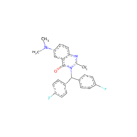 Cc1nc2ccc(N(C)C)cc2c(=O)n1C(c1ccc(F)cc1)c1ccc(F)cc1